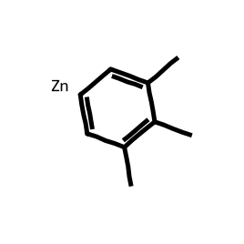 Cc1cccc(C)c1C.[Zn]